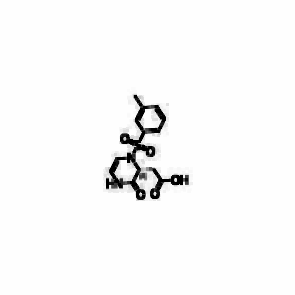 Cc1cccc(S(=O)(=O)N2C=CNC(=O)[C@H]2CC(=O)O)c1